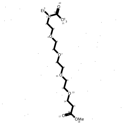 CCN(CCOCCOCCOCCOCCC(=O)OC)C(=O)C(F)(F)F